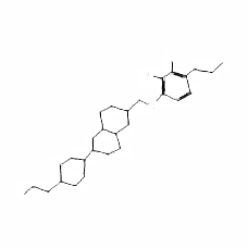 CCCc1ccc(OCC2CCC3CC(C4CCC(CCC)CC4)CCC3C2)c(F)c1F